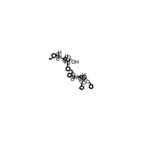 C=Cc1cccc(S(=O)(=O)NC[C@H]2C[C@@H]3O[C@H](CO)[C@@H](OCc4cccc(/C=C\c5ccccc5S(=O)(=O)NC[C@@H]5C[C@@H]6O[C@H](COCc7ccccc7)[C@@H](OCc7ccccc7)[C@@H]6O5)c4)[C@@H]3O2)c1